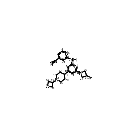 N#Cc1ccnc(Nc2cc(C3CCN(C4COC4)CC3)cc(N3CC(F)C3)n2)c1